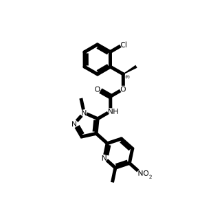 Cc1nc(-c2cnn(C)c2NC(=O)O[C@H](C)c2ccccc2Cl)ccc1[N+](=O)[O-]